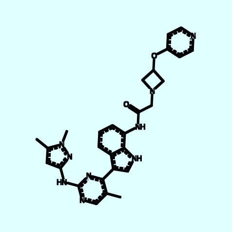 Cc1cnc(Nc2cc(C)n(C)n2)nc1-c1c[nH]c2c(NC(=O)CN3CC(Oc4ccncc4)C3)cccc12